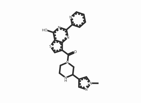 Cn1cc(C2CN(C(=O)c3csc4c(O)nc(-c5ccccn5)nc34)CCN2)cn1